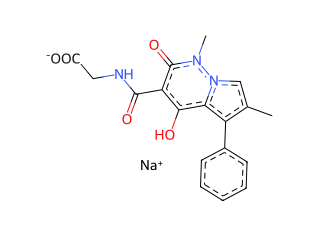 Cc1cn2c(c(O)c(C(=O)NCC(=O)[O-])c(=O)n2C)c1-c1ccccc1.[Na+]